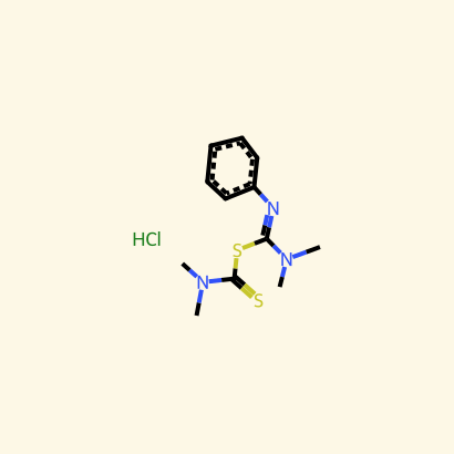 CN(C)C(=S)SC(=Nc1ccccc1)N(C)C.Cl